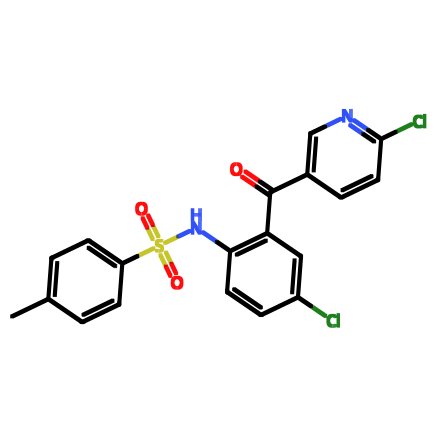 Cc1ccc(S(=O)(=O)Nc2ccc(Cl)cc2C(=O)c2ccc(Cl)nc2)cc1